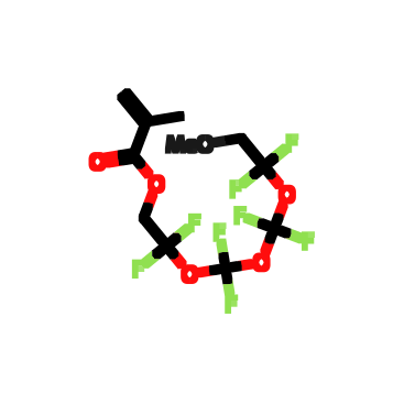 C=C(C)C(=O)OCC(F)(F)OC(F)(F)OC(F)(F)OC(F)(F)COC